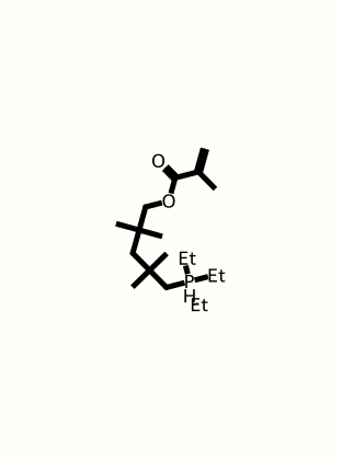 C=C(C)C(=O)OCC(C)(C)CC(C)(C)C[PH](CC)(CC)CC